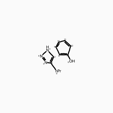 CCCc1c[nH]nn1.Oc1ccccc1